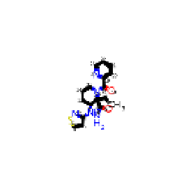 CCC1(C(N)=O)C(Nc2ccsn2)CCCN1C(=O)c1ccccn1